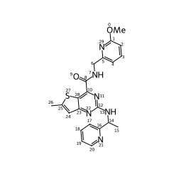 COc1cccc(CNC(=O)c2nc(NC(C)c3ccccn3)nc3cc(C)sc23)n1